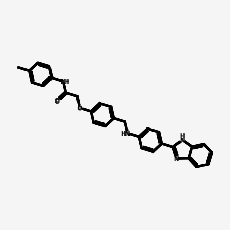 Cc1ccc(NC(=O)COc2ccc(CNc3ccc(-c4nc5ccccc5[nH]4)cc3)cc2)cc1